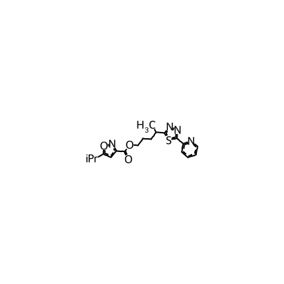 CC(C)c1cc(C(=O)OCCCC(C)c2nnc(-c3ccccn3)s2)no1